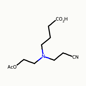 CC(=O)OCCN(CCC#N)CCCC(=O)O